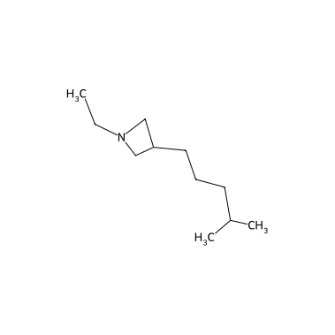 CCN1CC(CCCC(C)C)C1